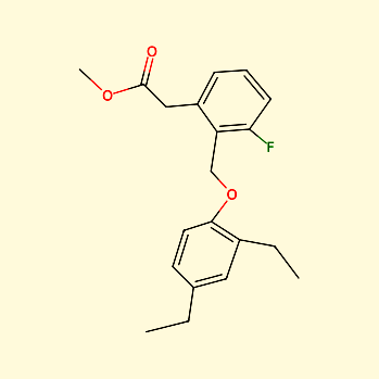 CCc1ccc(OCc2c(F)cccc2CC(=O)OC)c(CC)c1